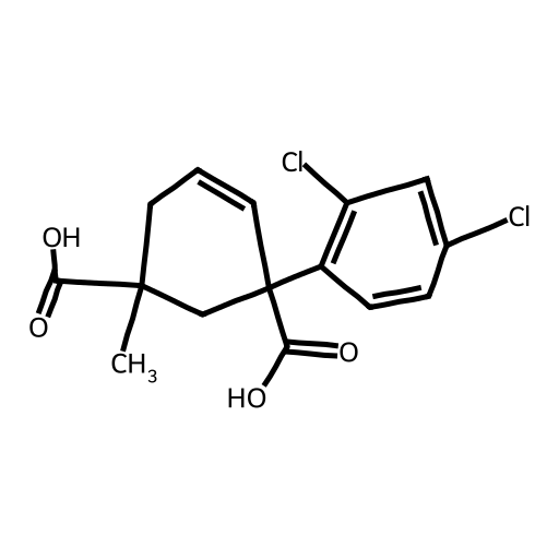 CC1(C(=O)O)CC=CC(C(=O)O)(c2ccc(Cl)cc2Cl)C1